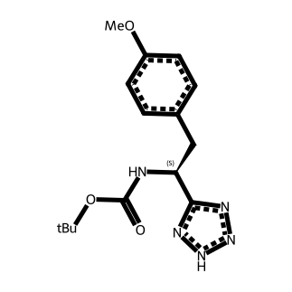 COc1ccc(C[C@H](NC(=O)OC(C)(C)C)c2nn[nH]n2)cc1